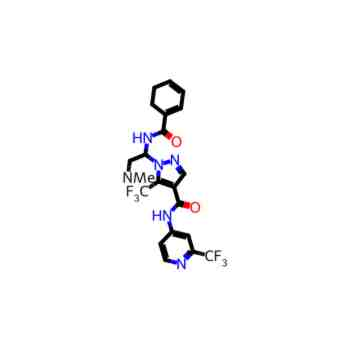 CNCC(NC(=O)C1=CC=CCC1)n1ncc(C(=O)Nc2ccnc(C(F)(F)F)c2)c1C(F)(F)F